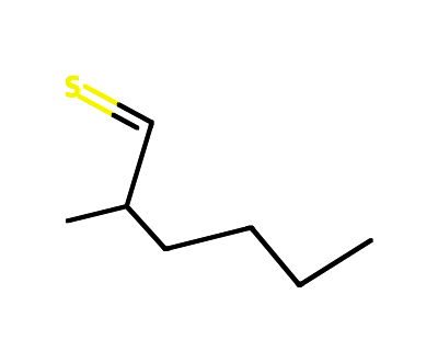 CCCCC(C)C=S